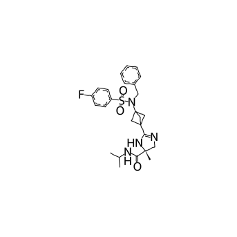 CC(C)NC(=O)[C@@]1(C)CN=C(C23CC(N(Cc4ccccc4)S(=O)(=O)c4ccc(F)cc4)(C2)C3)N1